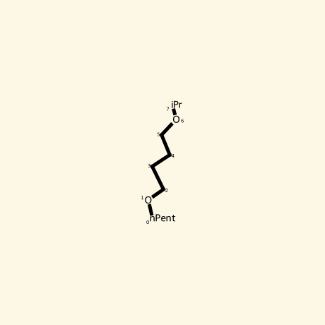 CCCCCOCCCCOC(C)C